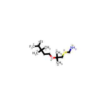 CCC(C(F)(F)F)C(C)(C)CCOC(C)(C)CSCN